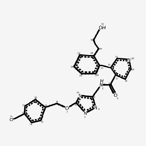 O=C(Nc1nnc(OCc2ccc(Cl)cc2)s1)c1ccncc1-c1ccccc1CCO